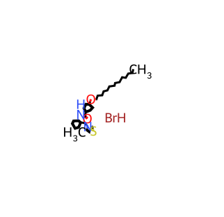 Br.CCCCCCCCCCCCCCOc1ccc(C(=O)Nc2ccccc2CN2CSC=C2C)cc1